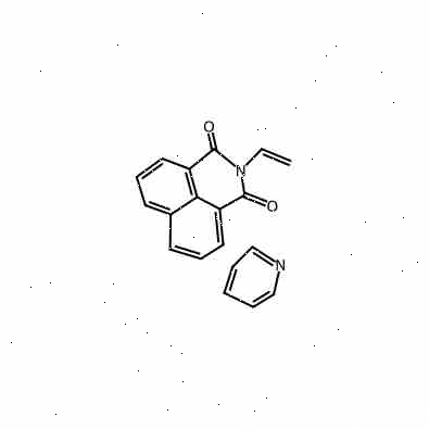 C=CN1C(=O)c2cccc3cccc(c23)C1=O.c1ccncc1